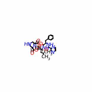 CC(C)C[C@H](NC(=O)C(Cc1ccccc1)NC(=O)c1cnccn1)B1OC(=O)[C@H]2CNC[C@@H](C(=O)O1)N2C